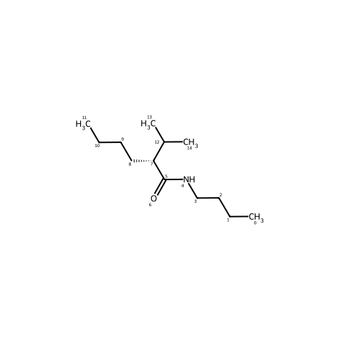 CCCCNC(=O)[C@H](CCCC)C(C)C